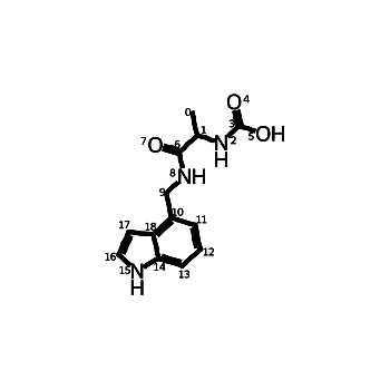 CC(NC(=O)O)C(=O)NCc1cccc2[nH]ccc12